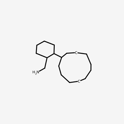 NCC1CCCCC1C1CCCCCCCCCC1